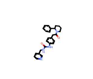 O=C(NCc1cccnc1)Nc1ccc(CC(=O)N2CCCCC2c2ccccc2)cc1